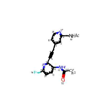 CC(=O)Nc1cc(C#Cc2nc(F)ccc2NC(=O)C(F)(F)F)ccn1